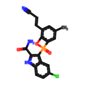 Cc1cc(/C=C/C#N)c2c(c1)P(=O)(c1c(C(N)=O)[nH]c3ccc(Cl)cc13)O2